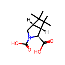 CC1(C)[C@@H]2[C@@H](C(=O)O)N(C(=O)O)C[C@@H]2C1(C)C